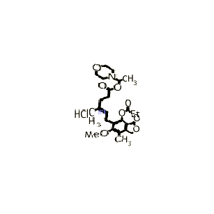 CCC(=O)Oc1c(C/C=C(\C)CCC(=O)OC(C)N2CCOCC2)c(OC)c(C)c2c1C(=O)OC2.Cl